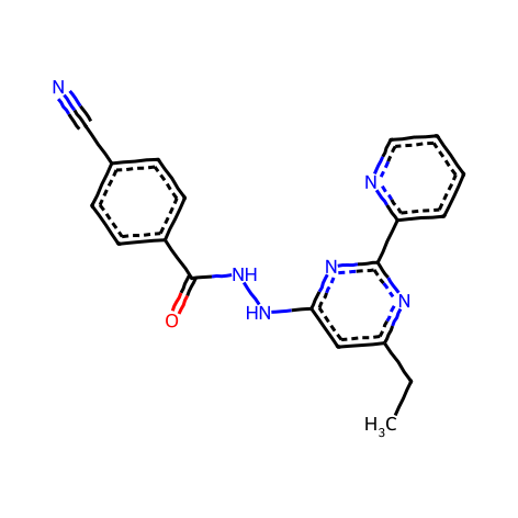 CCc1cc(NNC(=O)c2ccc(C#N)cc2)nc(-c2ccccn2)n1